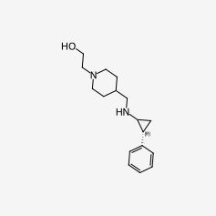 OCCN1CCC(CNC2C[C@@H]2c2ccccc2)CC1